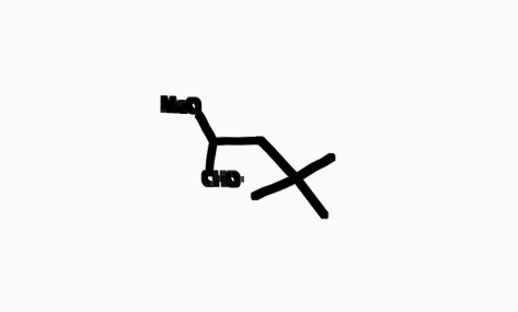 COC([C]=O)CC(C)(C)C